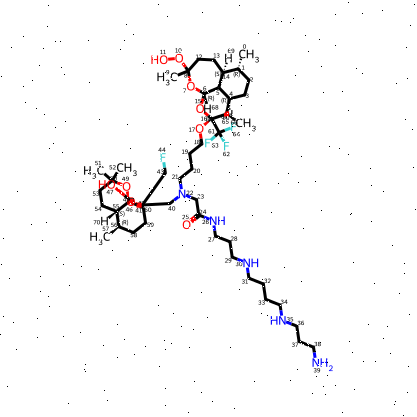 C[C@@H]1CC[C@@H]2C3[C@@H](OC(C)(OO)CC[C@H]31)O[C@@](OCCCCN(CC(=O)NCCCNCCCCNCCCN)CC1=C(CF)OC(O)[C@@]34OC(C)(C)CC[C@H]3[C@H](C)CCC14)(C(F)(F)F)[C@@H]2C